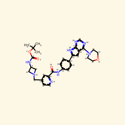 CC(C)(C)OC(=O)NC1CN(Cc2ccnc(C(=O)Nc3ccc(-c4cc5c(N6CCOCC6)ncnc5[nH]4)cc3)c2)C1